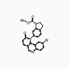 CC(C)(C)OC(=O)N1CCc2ccc(-n3c(=O)ccc4cnc5ccc(Br)cc5c43)cc21